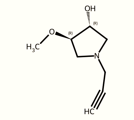 C#CCN1C[C@@H](O)[C@H](OC)C1